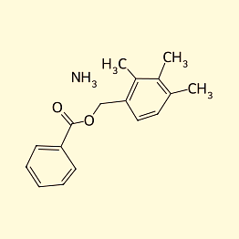 Cc1ccc(COC(=O)c2ccccc2)c(C)c1C.N